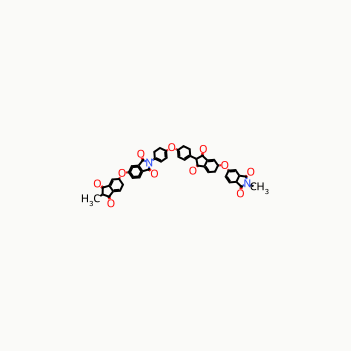 CC1C(=O)C2=CCC(Oc3ccc4c(c3)C(=O)N(C3=CC=C(OC5=CC=C(C6C(=O)C7=CCC(OC8=CC9C(=O)N(C)C(=O)C9C=C8)C=C7C6=O)CC5)CC3)C4=O)C=C2C1=O